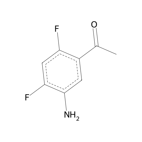 CC(=O)c1cc(N)c(F)cc1F